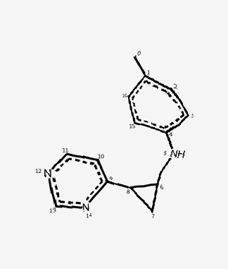 Cc1ccc(NC2CC2c2ccncn2)cc1